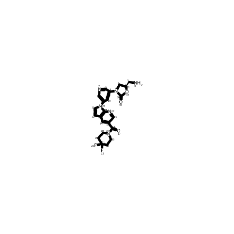 NC[C@@H]1CN(c2cncc(-n3ccc4cc(C(=O)N5CCC(F)(F)CC5)cnc43)c2)C(=O)O1